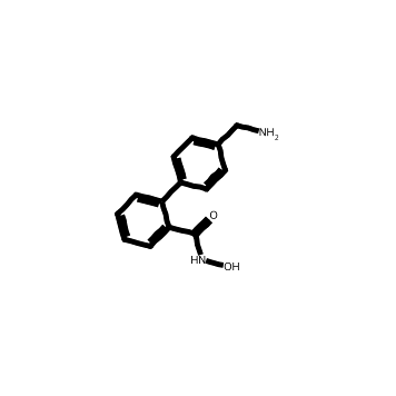 NCc1ccc(-c2ccccc2C(=O)NO)cc1